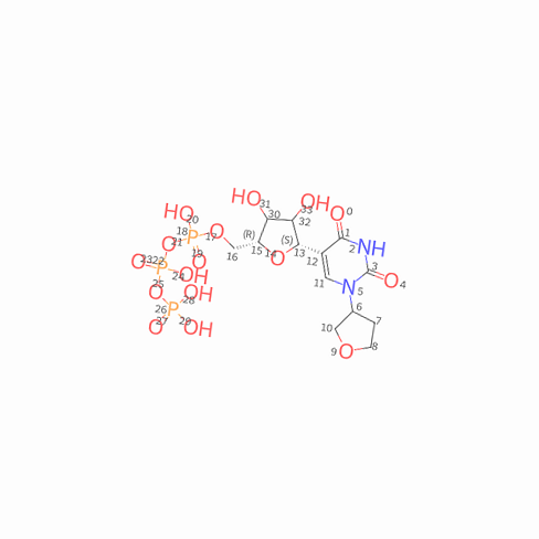 O=c1[nH]c(=O)n(C2CCOC2)cc1[C@@H]1O[C@H](COP(=O)(O)OP(=O)(O)OP(=O)(O)O)C(O)C1O